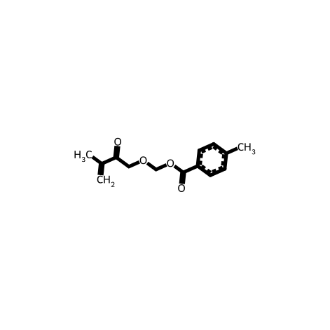 C=C(C)C(=O)COCOC(=O)c1ccc(C)cc1